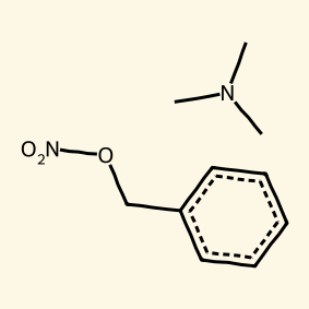 CN(C)C.O=[N+]([O-])OCc1ccccc1